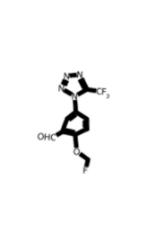 O=Cc1cc(-n2nnnc2C(F)(F)F)ccc1OCF